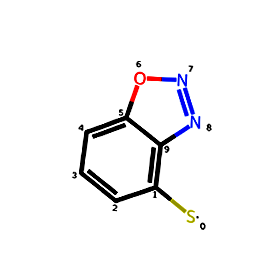 [S]c1cccc2onnc12